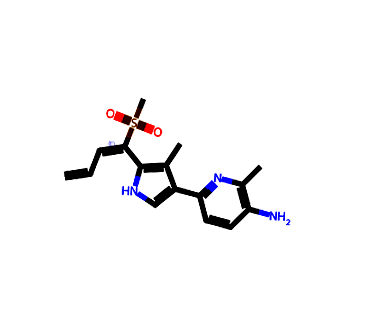 C=C/C=C(\c1[nH]cc(-c2ccc(N)c(C)n2)c1C)S(C)(=O)=O